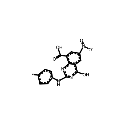 O=C(O)c1cc([N+](=O)[O-])cc2c(O)nc(Nc3ccc(F)cc3)nc12